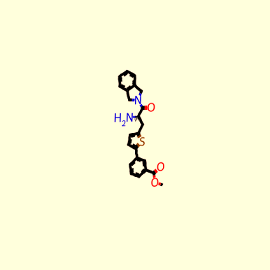 COC(=O)c1cccc(-c2ccc(C[C@@H](N)C(=O)N3Cc4ccccc4C3)s2)c1